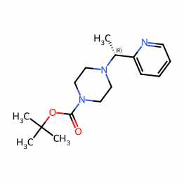 C[C@H](c1ccccn1)N1CCN(C(=O)OC(C)(C)C)CC1